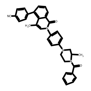 Cc1cn(-c2ccc(N3CCN(C(=O)c4ccccc4)C(C)C3)cc2)c(=O)c2cccc(-c3ccc(C#N)cc3)c12